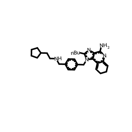 CCCCc1nc2c(N)nc3c(c2n1Cc1ccc(CNCCC2CCCC2)cc1)=CCCC=3